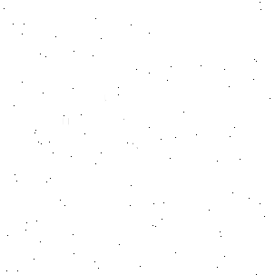 O=C(O)C1(Cl)C=CC(F)=C(Cl)N1